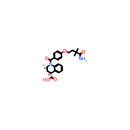 C[C@H]1C[C@@H](C(=O)O)c2ccccc2N1C(=O)c1ccc(OCCC(C)(C)C(N)=O)cc1